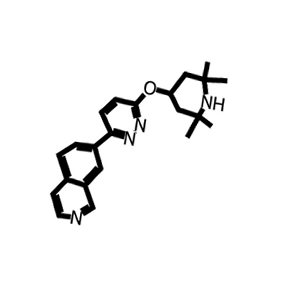 CC1(C)CC(Oc2ccc(-c3ccc4ccncc4c3)nn2)CC(C)(C)N1